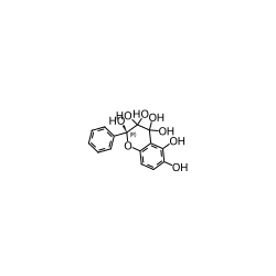 Oc1ccc2c(c1O)C(O)(O)C(O)(O)[C@@](O)(c1ccccc1)O2